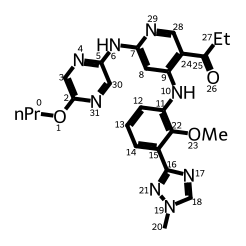 CCCOc1cnc(Nc2cc(Nc3cccc(-c4ncn(C)n4)c3OC)c(C(=O)CC)cn2)cn1